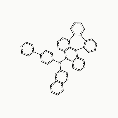 c1ccc(-c2ccc(N(c3ccc4ccccc4c3)c3c4ccccc4c4c5c(cccc35)-c3ccccc3-c3ccccc3-4)cc2)cc1